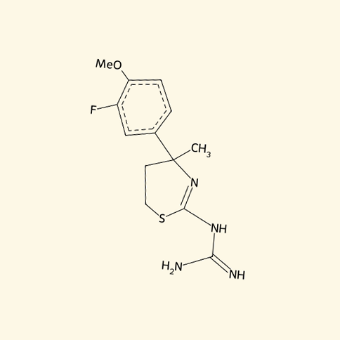 COc1ccc(C2(C)CCSC(NC(=N)N)=N2)cc1F